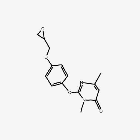 Cc1cc(=O)n(C)c(Oc2ccc(OCC3CO3)cc2)n1